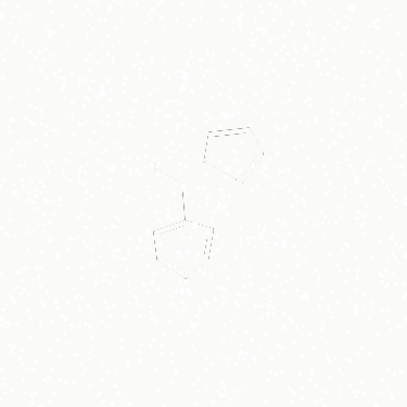 ClP(c1ccccc1)C1C=CC=C1